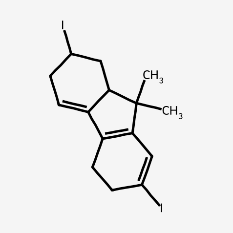 CC1(C)C2=C(CCC(I)=C2)C2=CCC(I)CC21